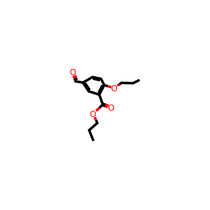 CCCOC(=O)c1cc(C=O)ccc1OCCC